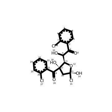 O=C(c1ccccc1Cl)C(O)[C@H]1O[C@@](O)(Cl)C[C@@]1(O)C(=O)c1ccccc1Cl